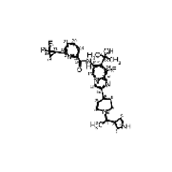 CC(C1CNC1)N1CCC(c2cn3cc(NC(=O)c4cccc(C5CC5(F)F)n4)c(C(C)(C)O)c(F)c3n2)CC1